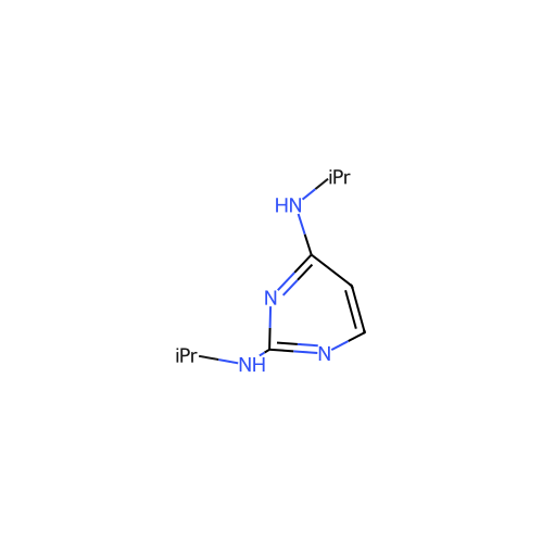 CC(C)Nc1ccnc(NC(C)C)n1